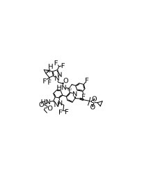 CCS(=O)(=O)Nc1nn(CC(F)F)c2c(-c3ccc(C#CC(C)(C)S(=O)(=O)C4CC4)nc3[C@H](Cc3cc(F)cc(F)c3)NC(=O)Cn3nc(C(F)F)c4c3C(F)(F)C3C[C@H]43)cccc12